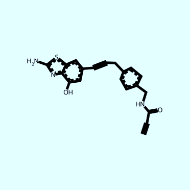 C#CC(=O)NCc1ccc(CC#Cc2cc(O)c3nc(N)sc3c2)cc1